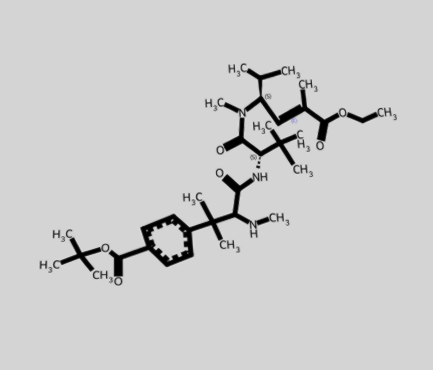 CCOC(=O)/C(C)=C/[C@H](C(C)C)N(C)C(=O)[C@@H](NC(=O)C(NC)C(C)(C)c1ccc(C(=O)OC(C)(C)C)cc1)C(C)(C)C